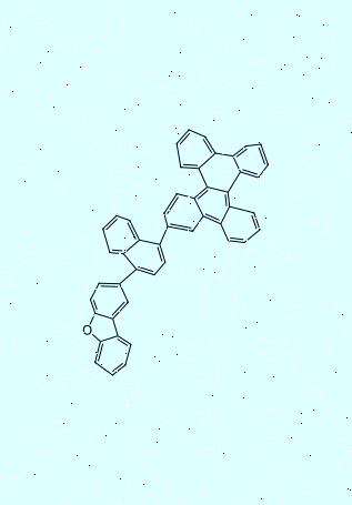 c1ccc2c(c1)oc1ccc(-c3ccc(-c4ccc5c(c4)c4ccccc4c4c6ccccc6c6ccccc6c54)c4ccccc34)cc12